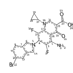 Nc1c(F)c(-n2cc3ccc(Br)cc3c2)c(F)c2c1c(=O)c(C(=O)O)cn2C1CC1